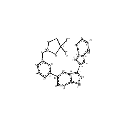 FC1(F)CCN(Cc2cncc(-c3cnc4[nH]nc(-c5cc6ncccc6[nH]5)c4c3)c2)C1